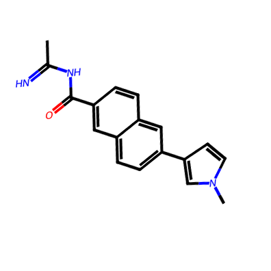 CC(=N)NC(=O)c1ccc2cc(-c3ccn(C)c3)ccc2c1